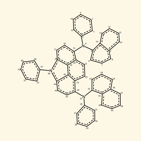 c1ccc(N(c2cccc3ccccc23)c2ccc3c4c2ccc2c(N(c5ccccc5)c5cccc6ccccc56)ccc(c24)n3-c2ccccc2)cc1